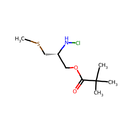 CSC[C@@H](COC(=O)C(C)(C)C)NCl